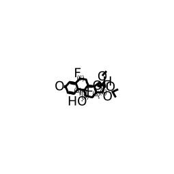 COCC(=O)[C@@]12OC(C)(C)O[C@@H]1CC1C3C[C@H](F)C4=CC(=O)C=C[C@]4(C)[C@@]3(F)[C@@H](O)C[C@@]12C